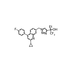 CC[C@](O)(c1cn(Cc2ccc3c(-c4ccc(F)cc4)cc(C4CC4)nc3c2)nn1)C(F)(F)F